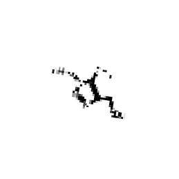 CCCCCCn1nnc(CC(C)(C)C)c1C